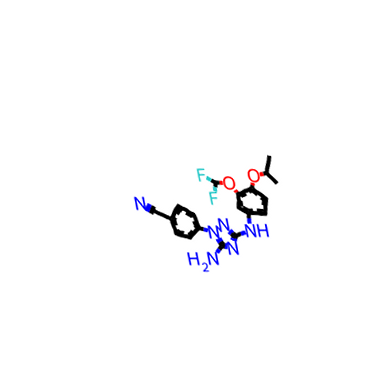 CC(C)Oc1ccc(Nc2nc(N)n(-c3ccc(C#N)cc3)n2)cc1OC(F)F